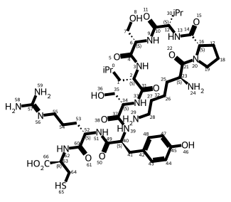 CC(C)C[C@H](NC(=O)[C@H](CO)NC(=O)[C@@H](NC(=O)[C@@H]1CCCN1C(=O)[C@@H](N)CCCCN)C(C)C)C(=O)N[C@@H](CO)C(=O)N[C@@H](Cc1ccc(O)cc1)C(=O)N[C@@H](CCCN=C(N)N)C(=O)N[C@@H](CS)C(=O)O